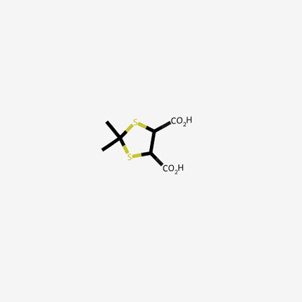 CC1(C)SC(C(=O)O)C(C(=O)O)S1